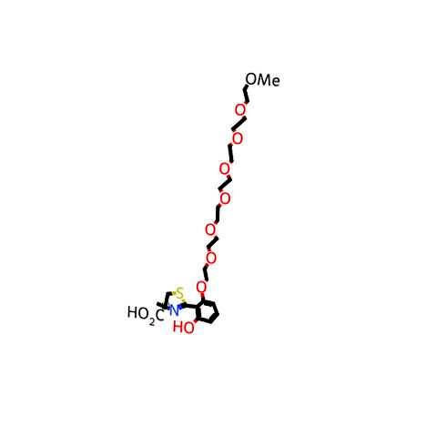 COCCOCCOCCOCCOCCOCCOCCOc1cccc(O)c1C1=N[C@@](C)(C(=O)O)CS1